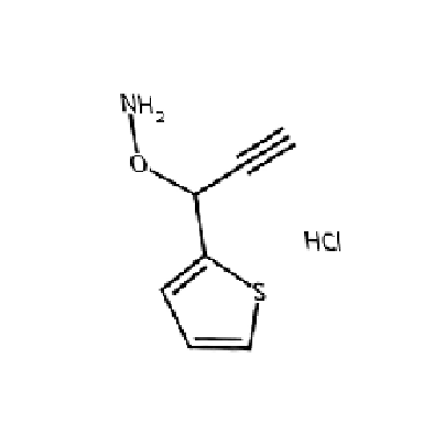 C#CC(ON)c1cccs1.Cl